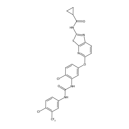 O=C(Nc1ccc(Cl)c(C(F)(F)F)c1)Nc1cc(Oc2ccc3nc(NC(=O)C4CC4)sc3n2)ccc1Cl